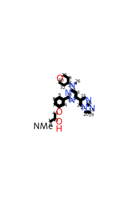 CNCC(O)COc1cccc(-c2nc(-c3cnc4nccn4c3)cc(N(C)C3CCOCC3)n2)c1